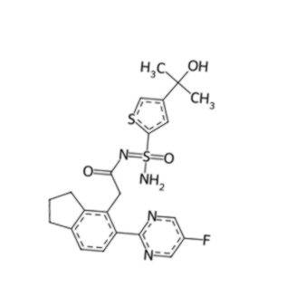 CC(C)(O)c1csc(S(N)(=O)=NC(=O)Cc2c(-c3ncc(F)cn3)ccc3c2CCC3)c1